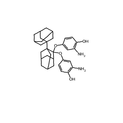 Nc1cc(OC2(Oc3ccc(O)c(N)c3)C3CC4CC(C3)CC2(C23CC5CC(CC(C5)C2)C3)C4)ccc1O